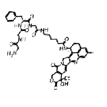 CC[C@@]1(O)C(=O)OCc2c1cc1n(c2=O)Cc2c-1nc1cc(F)cc3c1c2[C@@H](NC(=O)CCCCCNC(=O)CNC(=O)[C@H](Cc1ccccc1)NC(=O)CNC(=O)CN)CC3